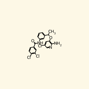 CC(Oc1cc(Cl)cnc1N)c1cccc(NC(=O)c2ccc(Cl)c(Cl)c2)c1